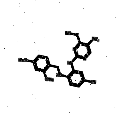 COc1ccc(CNc2ccc(C#N)cc2Nc2ncc([N+](=O)[O-])c(SC#N)n2)c(OC)c1